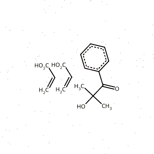 C=CC(=O)O.C=CC(=O)O.CC(C)(O)C(=O)c1ccccc1